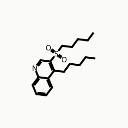 CCCCCc1c(S(=O)(=O)CCCCC)cnc2ccccc12